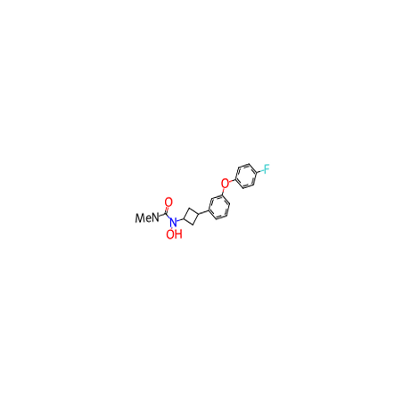 CNC(=O)N(O)C1CC(c2cccc(Oc3ccc(F)cc3)c2)C1